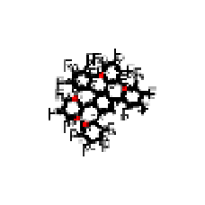 Fc1c(F)c(F)c(-c2cc(-c3c(F)c(F)c(F)c(F)c3F)c(-c3c(F)c(F)c(F)c(F)c3F)c(-c3c(F)c(F)c(F)c(F)c3F)c2-c2c(F)c(F)c(F)c(F)c2F)c(F)c1F